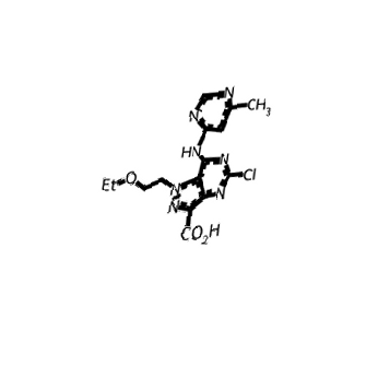 CCOCCn1nc(C(=O)O)c2nc(Cl)nc(Nc3cc(C)ncn3)c21